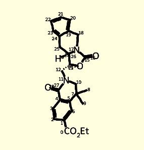 CCOC(=O)c1ccc2c(c1)C(C)(C)CN(C[C@H]1OC(=O)N3Cc4ccccc4C[C@@H]13)C2=O